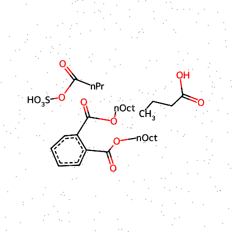 CCCC(=O)O.CCCC(=O)OS(=O)(=O)O.CCCCCCCCOC(=O)c1ccccc1C(=O)OCCCCCCCC